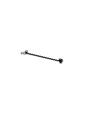 CO[Si](CCCCCCCCCCCCCCCCCCCCCCCCCCCCCCCCCC(=O)O)(OC)OC